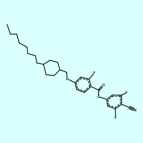 CCCCCCCCC1CCC(COc2ccc(C(=O)Oc3cc(F)c(C#N)c(F)c3)c(F)c2)CC1